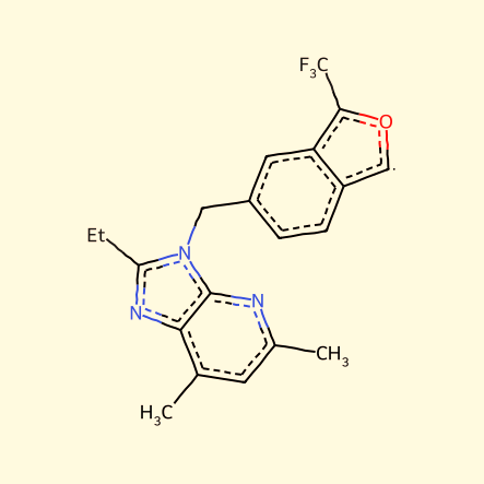 CCc1nc2c(C)cc(C)nc2n1Cc1ccc2[c]oc(C(F)(F)F)c2c1